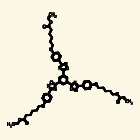 C=COC(=O)CCCCCOc1ccc(-c2noc(-c3cc(-c4nc(-c5ccc(OCCCCCOC(=O)C=C)cc5)no4)cc(-c4nc(-c5ccc(OCCCCCC(=O)OC=C)cc5)no4)c3)n2)cc1